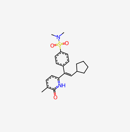 Cc1ccc(C(=CC2CCCC2)c2ccc(S(=O)(=O)N(C)C)cc2)[nH]c1=O